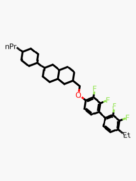 CCCC1CCC(C2CCC3CC(COc4ccc(-c5ccc(CC)c(F)c5F)c(F)c4F)CCC3C2)CC1